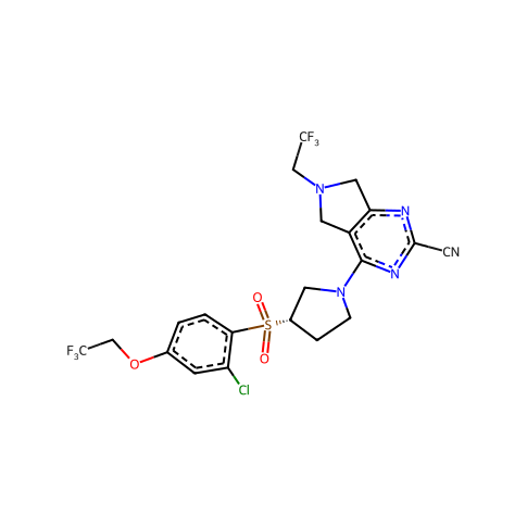 N#Cc1nc2c(c(N3CC[C@H](S(=O)(=O)c4ccc(OCC(F)(F)F)cc4Cl)C3)n1)CN(CC(F)(F)F)C2